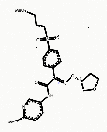 COCCCS(=O)(=O)c1ccc(/C(=N\O[C@@H]2CCOC2)C(=O)Nc2cnc(SC)cn2)cc1